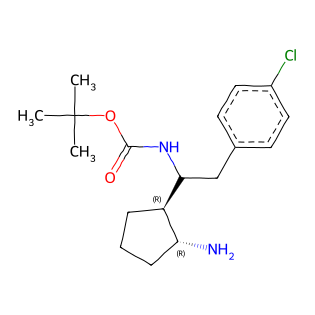 CC(C)(C)OC(=O)NC(Cc1ccc(Cl)cc1)[C@@H]1CCC[C@H]1N